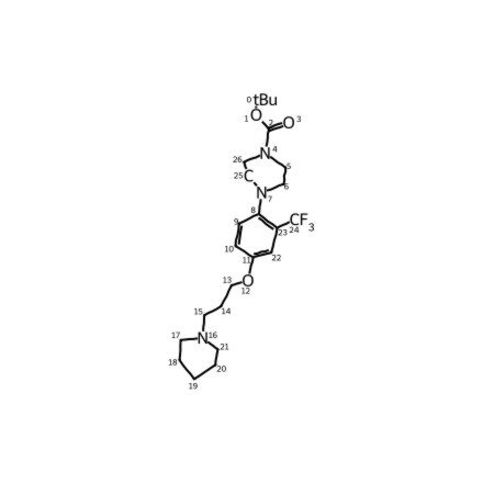 CC(C)(C)OC(=O)N1CCN(c2ccc(OCCCN3CCCCC3)cc2C(F)(F)F)CC1